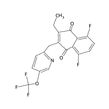 CCC1=C(Cc2ccc(OC(F)(F)F)cn2)C(=O)c2c(F)ccc(F)c2C1=O